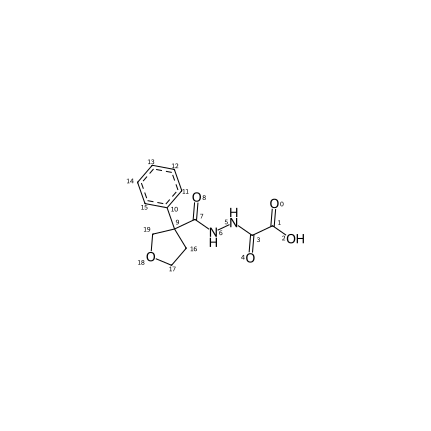 O=C(O)C(=O)NNC(=O)C1(c2ccccc2)CCOC1